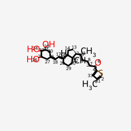 Cc1csc(C(=O)CCC[C@@H](C)[C@H]2CC[C@H]3/C(=C/C=C4C[C@@H](O)C(O)[C@H](O)C4)CCC[C@]23C)c1